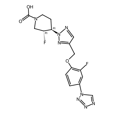 O=C(O)N1CC[C@@H](n2ncc(COc3ccc(-n4cnnn4)cc3F)n2)[C@H](F)C1